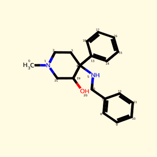 CN1CCC(NCc2ccccc2)(c2ccccc2)C(O)C1